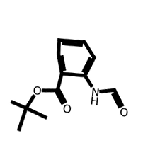 CC(C)(C)OC(=O)c1ccccc1NC=O